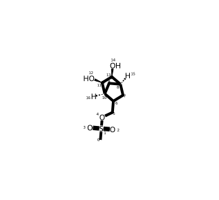 CS(=O)(=O)OCC1C[C@H]2C[C@@H]1[C@@H](O)[C@H]2O